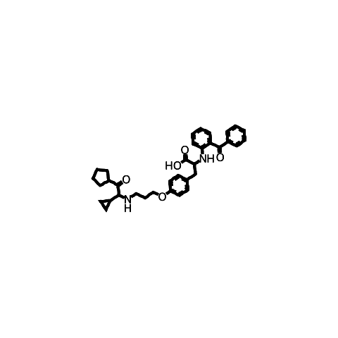 O=C(c1ccccc1)c1ccccc1NC(Cc1ccc(OCCCNC(C(=O)C2CCCC2)C2CC2)cc1)C(=O)O